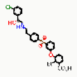 CCc1c(Oc2cccc(S(=O)(=O)c3ccc(CCNC[C@H](O)c4cccc(Cl)c4)cc3)c2)cccc1C(=O)O